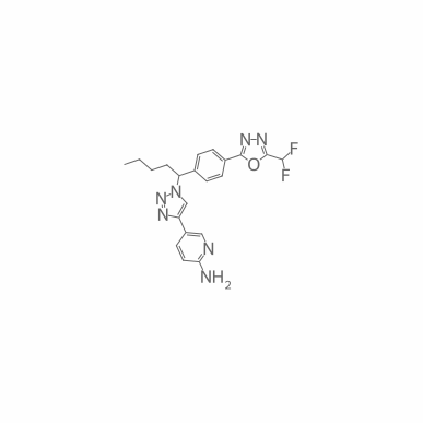 CCCCC(c1ccc(-c2nnc(C(F)F)o2)cc1)n1cc(-c2ccc(N)nc2)nn1